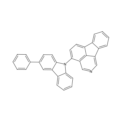 c1ccc(-c2ccc3c(c2)c2ccccc2n3-c2ccc3c4c(cncc24)-c2ccccc2-3)cc1